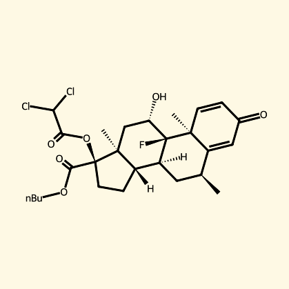 CCCCOC(=O)[C@@]1(OC(=O)C(Cl)Cl)CC[C@H]2[C@@H]3C[C@H](C)C4=CC(=O)C=C[C@]4(C)[C@@]3(F)[C@@H](O)C[C@@]21C